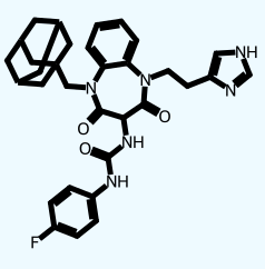 O=C(Nc1ccc(F)cc1)NC1C(=O)N(CCc2c[nH]cn2)c2ccccc2N(CC23CC4CC(CC(C4)C2)C3)C1=O